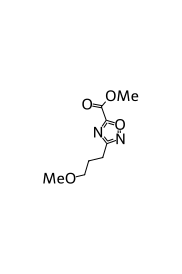 COCCCc1noc(C(=O)OC)n1